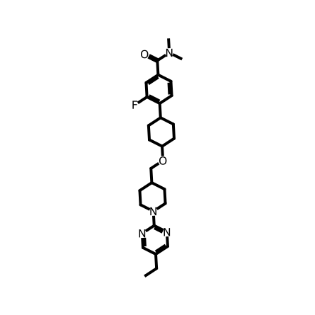 CCc1cnc(N2CCC(COC3CCC(c4ccc(C(=O)N(C)C)cc4F)CC3)CC2)nc1